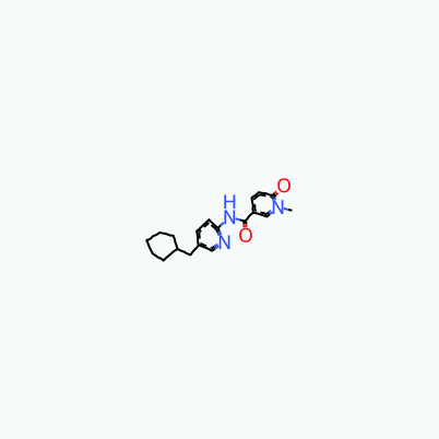 Cn1cc(C(=O)Nc2ccc(CC3CCCCC3)cn2)ccc1=O